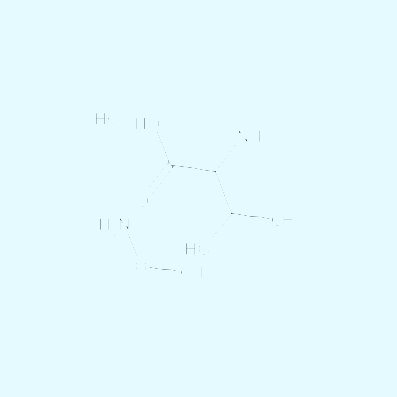 CC(O)C(N)C(=O)O.CON.Cl